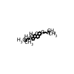 CN(C)CCCO[C@@H]1C=C2CCC3C(CC[C@@]4(C)C3CC[C@@H]4OCCN(C)C)[C@@]2(C)CC1